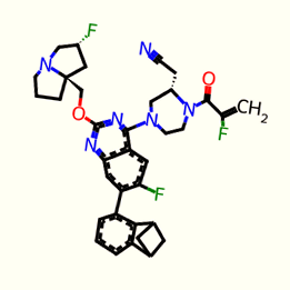 C=C(F)C(=O)N1CCN(c2nc(OC[C@@]34CCCN3C[C@H](F)C4)nc3cc(-c4cccc5c4C4CC5C4)c(F)cc23)C[C@@H]1CC#N